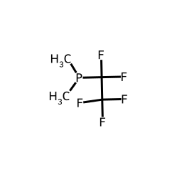 CP(C)C(F)(F)C(F)(F)F